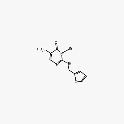 CCn1c(NCc2ccco2)ncc(C(=O)O)c1=O